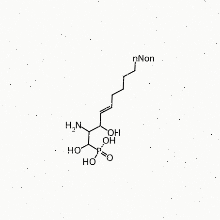 CCCCCCCCCCCCCC=CC(O)C(N)C(O)P(=O)(O)O